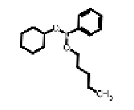 CCCCCOB(OC1CCCCC1)c1ccccc1